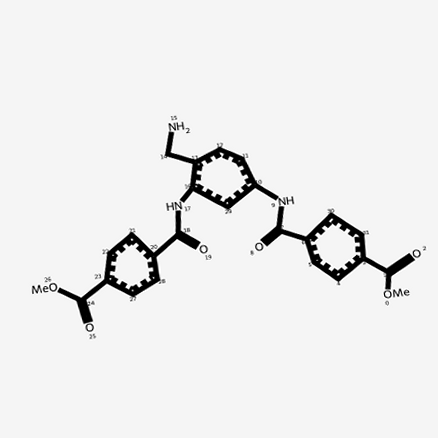 COC(=O)c1ccc(C(=O)Nc2ccc(CN)c(NC(=O)c3ccc(C(=O)OC)cc3)c2)cc1